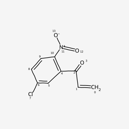 C=CC(=O)c1cc(Cl)ccc1[N+](=O)[O-]